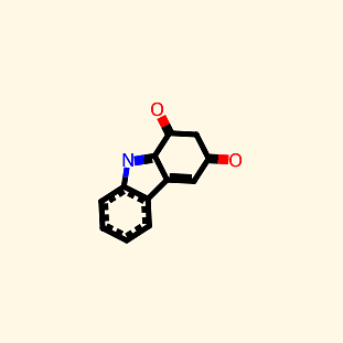 O=C1C=C2C(=Nc3ccccc32)C(=O)C1